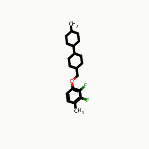 Cc1ccc(OCC2CCC(C3CCC(C)CC3)CC2)c(F)c1F